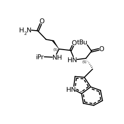 CC(C)N[C@@H](CCC(N)=O)C(=O)N[C@@H](Cc1c[nH]c2ccccc12)C(=O)C(C)(C)C